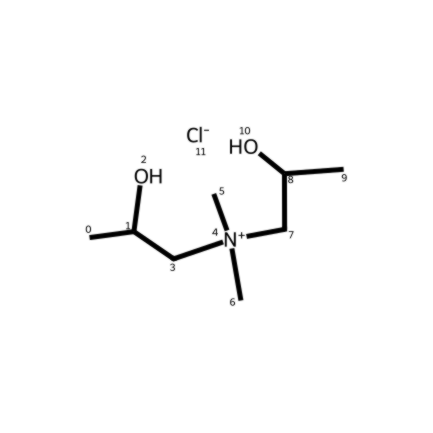 CC(O)C[N+](C)(C)CC(C)O.[Cl-]